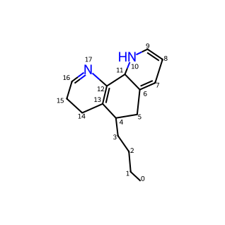 CCCCC1CC2=CC=CNC2C2=C1CCC=N2